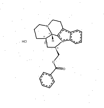 CC[C@@]12CCCN3CCc4c(n(c5ccccc45)[C@@H](COC(=O)c4ccccc4)C1)[C@@H]32.Cl